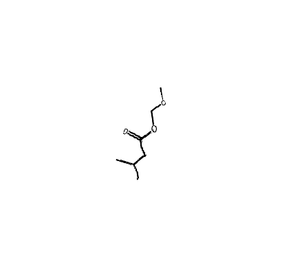 COCOC(=O)CC(C)C